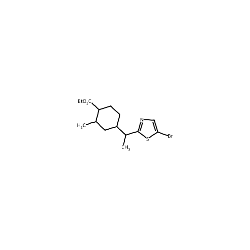 CCOC(=O)C1CCC(C(C)c2ncc(Br)s2)CC1C